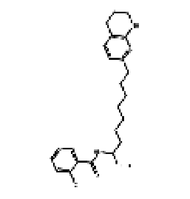 O=C(NC(CCCCCCCc1ccc2c(n1)NCCC2)C(=O)O)c1ccccc1Cl